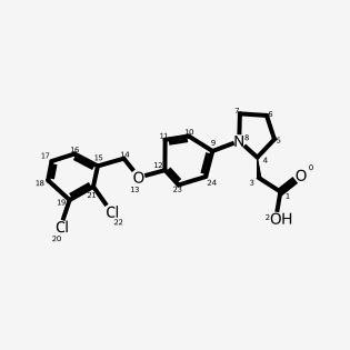 O=C(O)C[C@@H]1CCCN1c1ccc(OCc2cccc(Cl)c2Cl)cc1